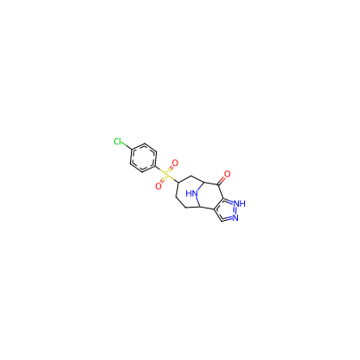 O=C1c2[nH]ncc2C2CCC(S(=O)(=O)c3ccc(Cl)cc3)CC1N2